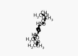 C=C(C)C(=O)OCC(C)OC(=O)NCC1CC2CC1CC2CCNC(=O)OCC(C)OC(=O)C(=C)C